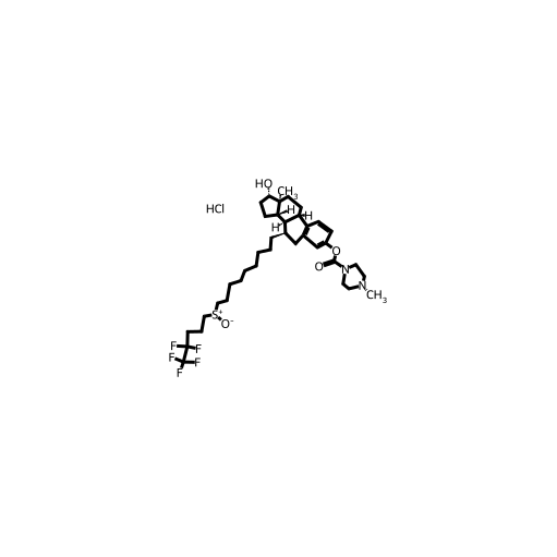 CN1CCN(C(=O)Oc2ccc3c(c2)C[C@@H](CCCCCCCCC[S+]([O-])CCCC(F)(F)C(F)(F)F)[C@@H]2[C@@H]3CC[C@]3(C)[C@@H](O)CC[C@@H]23)CC1.Cl